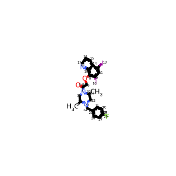 CC1CN(C(=O)COc2c(I)cc(I)c3cccnc23)C(C)CN1Cc1ccc(F)cc1